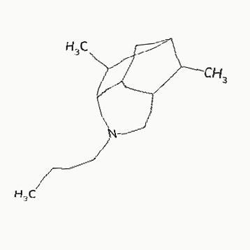 CCCN1CC2C(C)C3CC2C1C3C